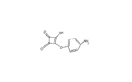 Nc1ccc(Oc2c(O)c(=O)c2=O)cc1